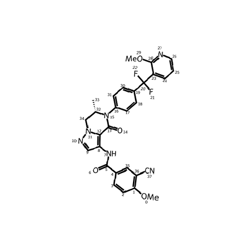 COc1ccc(C(=O)Nc2cnn3c2C(=O)N(c2ccc(C(F)(F)c4cccnc4OC)cc2)[C@@H](C)C3)cc1C#N